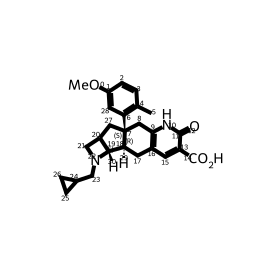 COc1ccc(C)c([C@@]23Cc4[nH]c(=O)c(C(=O)O)cc4C[C@H]2[C@H]2C(CN2CC2CC2)C3)c1